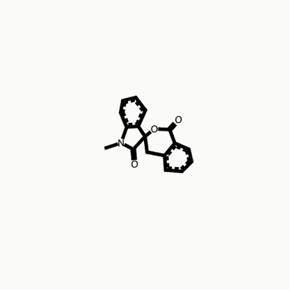 CN1C(=O)C2(Cc3ccccc3C(=O)O2)c2ccccc21